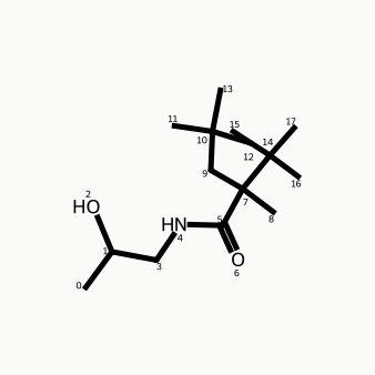 CC(O)CNC(=O)C(C)(CC(C)(C)C)C(C)(C)C